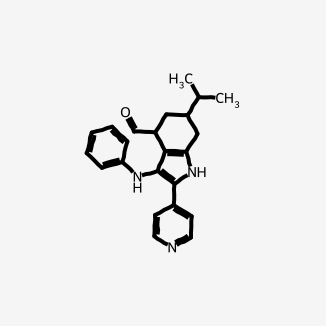 CC(C)C1Cc2[nH]c(-c3ccncc3)c(Nc3ccccc3)c2C(C=O)C1